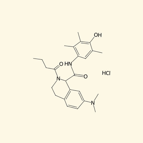 CCCC(=O)N1CCc2ccc(N(C)C)cc2C1C(=O)Nc1cc(C)c(O)c(C)c1C.Cl